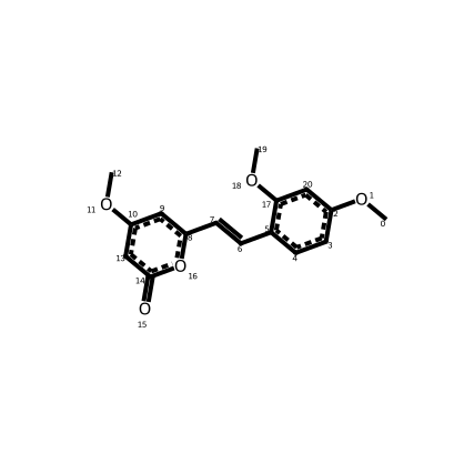 COc1ccc(/C=C/c2cc(OC)cc(=O)o2)c(OC)c1